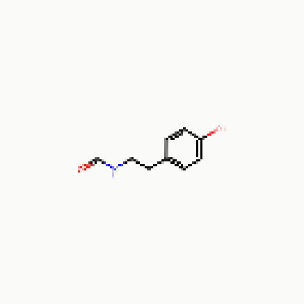 O=CNCCc1ccc(O)cc1